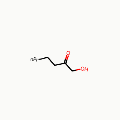 CCCCCC(=O)[CH]O